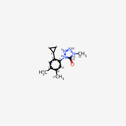 Cc1cc(C2CC2)c(-n2nnn(C)c2=O)cc1C